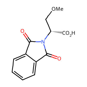 COC[C@H](C(=O)O)N1C(=O)c2ccccc2C1=O